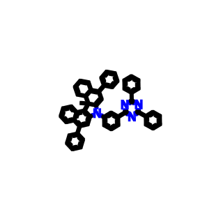 CC12C(=CC(c3ccccc3)=C3C=CC=CC31)N(c1cccc(-c3nc(-c4ccccc4)nc(-c4ccccc4)n3)c1)c1cc(-c3ccccc3)c3ccccc3c12